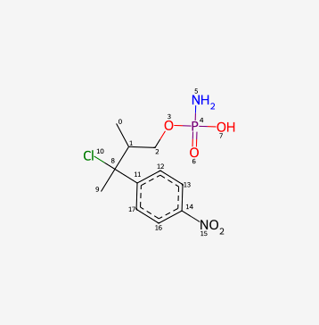 CC(COP(N)(=O)O)C(C)(Cl)c1ccc([N+](=O)[O-])cc1